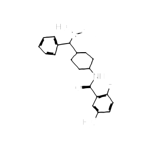 CN(C)C(c1ccccc1)C1CCC(NC(=O)c2cc(C(F)(F)F)ccc2F)CC1